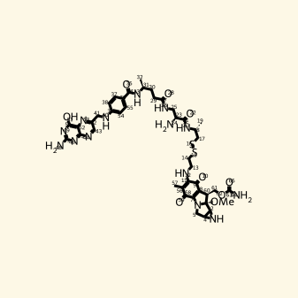 CO[C@]12C3NC3CN1C1=C(C(=O)C(NCCSSC[C@@H](C)NC(=O)[C@@H](N)CNC(=O)CC[C@H](C)NC(=O)c3ccc(NCc4cnc5nc(N)nc(O)c5n4)cc3)=C(C)C1=O)[C@H]2COC(N)=O